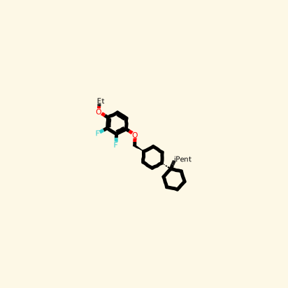 CCCC(C)C1([C@H]2CC[C@H](COc3ccc(OCC)c(F)c3F)CC2)CCCCC1